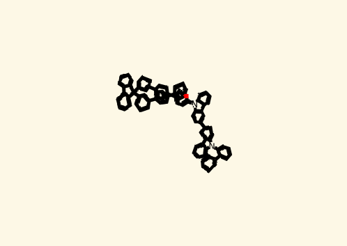 C1=CC2c3cc(-c4ccc5c(c4)c4ccccc4n5-c4ccccc4-c4ccccc4)ccc3N(c3ccc(-c4ccc(-c5cccc(C6(c7cccc(-c8ccc(-c9ccccc9)cc8)c7)c7ccccc7-c7ccccc76)c5)cc4)cc3)C2C=C1